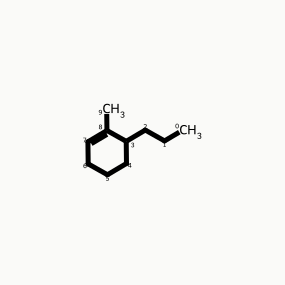 CCCC1CCCC=C1C